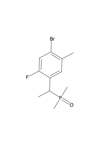 Cc1cc(C(C)P(C)(C)=O)c(F)cc1Br